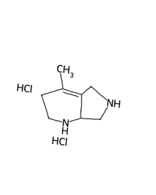 CC1=C2CNCC2NCC1.Cl.Cl